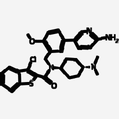 COc1ccc(-c2ccc(N)nc2)cc1CN(C(=O)c1sc2ccccc2c1Cl)[C@H]1CC[C@H](N(C)C)CC1